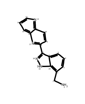 NCc1cccc2c(-c3ccc4ncccc4n3)n[nH]c12